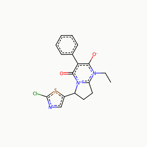 CCn1c([O-])c(-c2ccccc2)c(=O)[n+]2c1CCC2c1cnc(Cl)s1